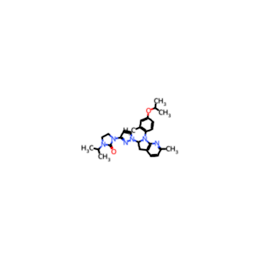 Cc1ccc2c(n1)N(c1ccc(OC(C)C)cc1C)C(n1ccc(N3CCN(C(C)C)C3=O)n1)C2